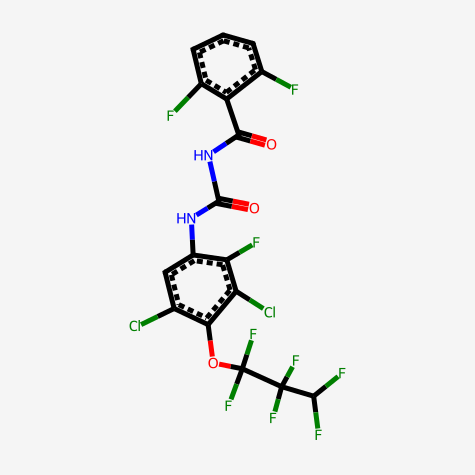 O=C(NC(=O)c1c(F)cccc1F)Nc1cc(Cl)c(OC(F)(F)C(F)(F)C(F)F)c(Cl)c1F